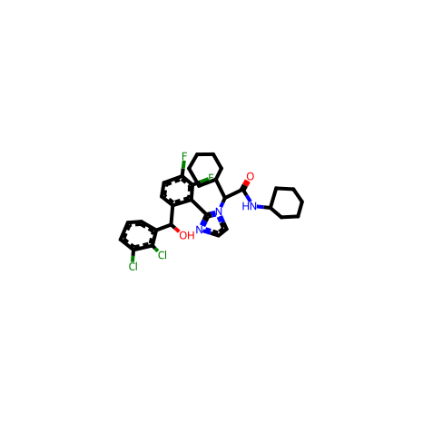 O=C(NC1CCCCC1)C(C1CCCCC1)n1ccnc1-c1c(C(O)c2cccc(Cl)c2Cl)ccc(F)c1F